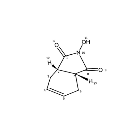 O=C1[C@H]2CC=CC[C@H]2C(=O)N1O